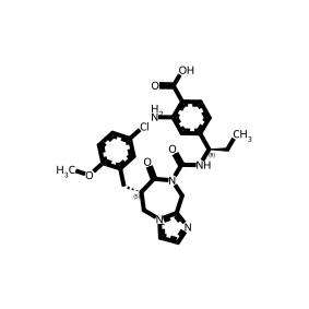 CC[C@@H](NC(=O)N1Cc2nccn2C[C@H](Cc2cc(Cl)ccc2OC)C1=O)c1ccc(C(=O)O)c(N)c1